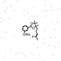 COc1cccc(B2OC(C)(C)C(C)(CCC=C(F)F)O2)c1